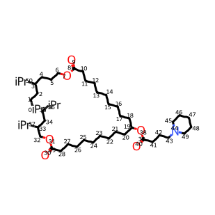 CC(C)CCC(CCCOC(=O)CCCCCCCCCC(CCCCCCCCCC(=O)OCC(CCC(C)C)C(C)C)OC(=O)CCCN1CCCCC1)C(C)C